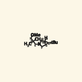 COCC(C)(C)CN1CC2C(C(C)(C)C)[C@H]2C1